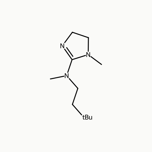 CN1CCN=C1N(C)CCC(C)(C)C